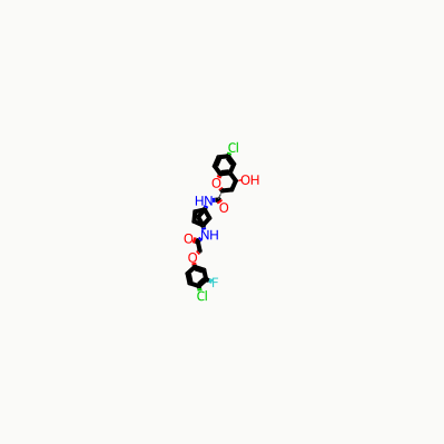 O=C(COc1ccc(Cl)c(F)c1)NC12CCC(NC(=O)[C@H]3C[C@@H](O)c4cc(Cl)ccc4O3)(C1)C2